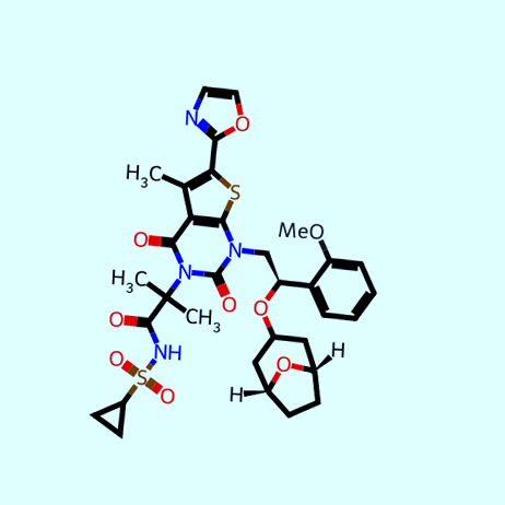 COc1ccccc1[C@H](Cn1c(=O)n(C(C)(C)C(=O)NS(=O)(=O)C2CC2)c(=O)c2c(C)c(-c3ncco3)sc21)OC1C[C@H]2CC[C@@H](C1)O2